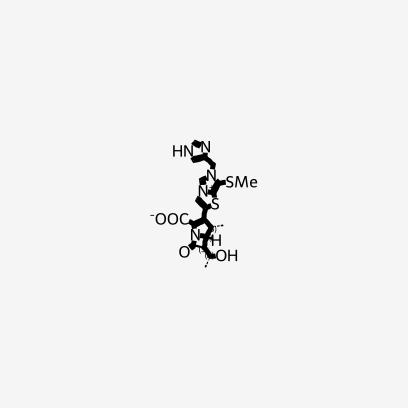 CSc1c2sc(C3=C(C(=O)[O-])N4C(=O)[C@H]([C@@H](C)O)[C@H]4[C@H]3C)c[n+]2cn1Cc1c[nH]cn1